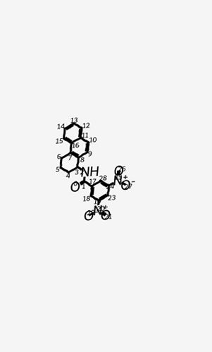 O=C(NC1CCCc2c1ccc1ccccc21)c1cc([N+](=O)[O-])cc([N+](=O)[O-])c1